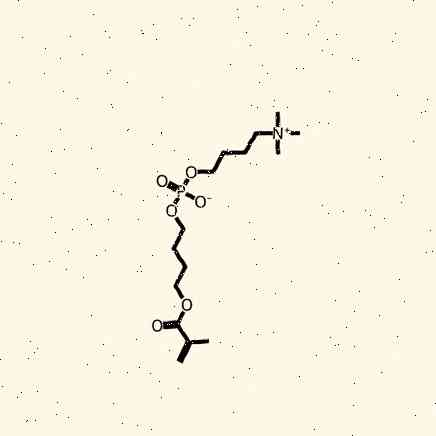 C=C(C)C(=O)OCCCCOP(=O)([O-])OCCCC[N+](C)(C)C